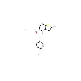 COC(=O)c1ccc2sc(I)cc2c1OCc1ccc(OC(F)(F)F)cc1